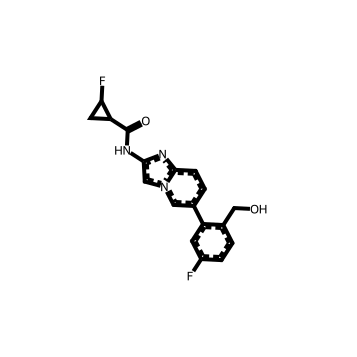 O=C(Nc1cn2cc(-c3cc(F)ccc3CO)ccc2n1)C1CC1F